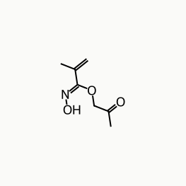 C=C(C)C(=NO)OCC(C)=O